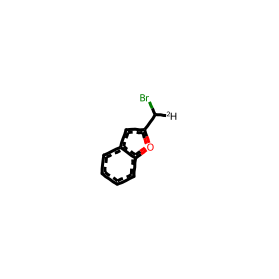 [2H]C(Br)c1cc2ccccc2o1